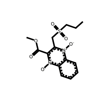 CCCS(=O)(=O)Cc1c(C(=O)OC)[n+]([O-])c2ccccc2[n+]1[O-]